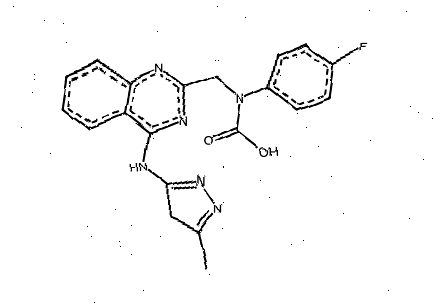 CC1=NN=C(Nc2nc(CN(C(=O)O)c3ccc(F)cc3)nc3ccccc23)C1